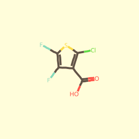 O=C(O)c1c(Cl)sc(F)c1F